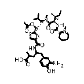 CC[C@H](C)[C@H](NC(=O)[C@H]1CCCCN1C)C(=O)N(C)[C@H](C[C@@H](OC(C)=O)c1nc(C(=O)NC(Cc2ccc(O)c(N)c2)CC(C)C(=O)O)cs1)C(C)C